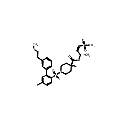 COCCc1cccc(-c2cc(Cl)ccc2S(=O)(=O)N2CCC(F)(C(=O)N[C@@H](C)/C=C\S(C)(=O)=O)CC2)c1